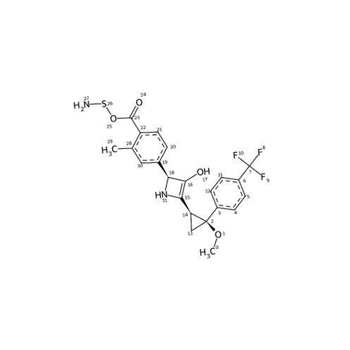 CO[C@@]1(c2ccc(C(F)(F)F)cc2)C[C@H]1C1=C(O)[C@H](c2ccc(C(=O)OSN)c(C)c2)N1